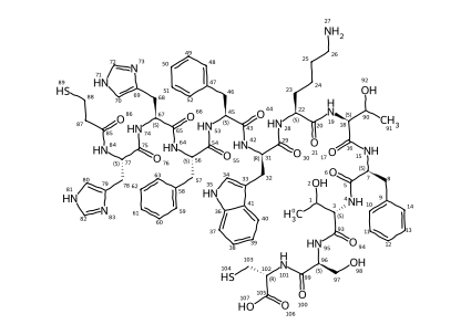 CC(O)[C@H](NC(=O)[C@H](Cc1ccccc1)NC(=O)[C@@H](NC(=O)[C@H](CCCCN)NC(=O)[C@@H](Cc1c[nH]c2ccccc12)NC(=O)[C@H](Cc1ccccc1)NC(=O)[C@H](Cc1ccccc1)NC(=O)[C@H](Cc1c[nH]cn1)NC(=O)[C@H](Cc1c[nH]cn1)NC(=O)CCS)C(C)O)C(=O)N[C@@H](CO)C(=O)N[C@@H](CS)C(=O)O